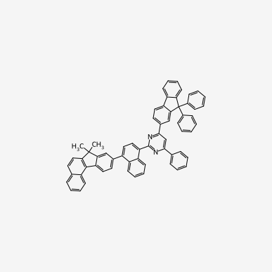 CC1(C)c2cc(-c3ccc(-c4nc(-c5ccccc5)cc(-c5ccc6c(c5)C(c5ccccc5)(c5ccccc5)c5ccccc5-6)n4)c4ccccc34)ccc2-c2c1ccc1ccccc21